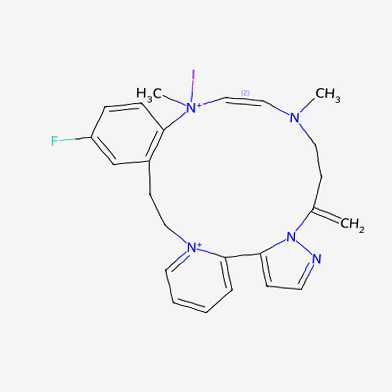 C=C1CCN(C)/C=C\[N+](C)(I)c2ccc(F)cc2CC[n+]2ccccc2-c2ccnn21